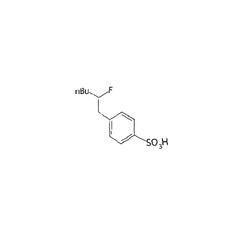 CCCCC(F)Cc1ccc(S(=O)(=O)O)cc1